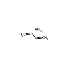 C=CC=C.[AlH3]